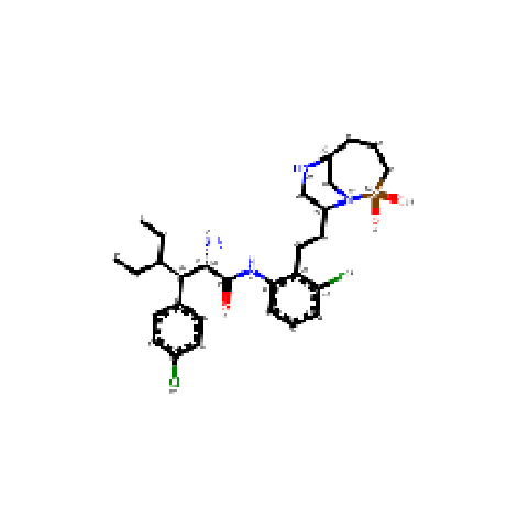 CCC(CC)[C@H](c1ccc(Cl)cc1)[C@H](N)C(=O)Nc1cccc(F)c1CCC1CNC2CCCS(=O)(=O)N1C2